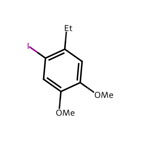 CCc1cc(OC)c(OC)cc1I